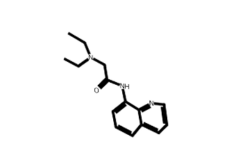 CCN(CC)CC(=O)Nc1cccc2cccnc12